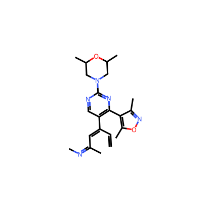 C=C/C(=C\C(C)=N/C)c1cnc(N2CC(C)OC(C)C2)nc1-c1c(C)noc1C